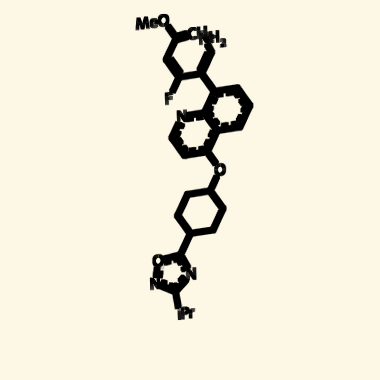 C=C(/C=C(F)\C(=C/N)c1cccc2c(OC3CCC(c4nc(C(C)C)no4)CC3)ccnc12)OC